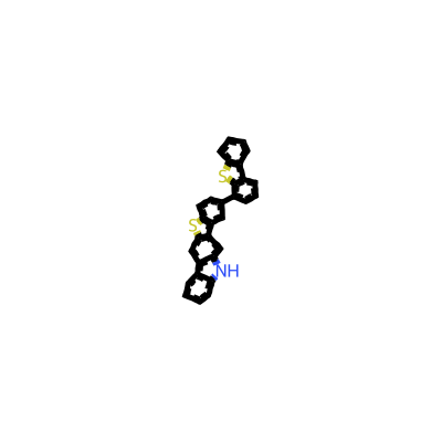 c1ccc2c(c1)[nH]c1cc3c(cc12)sc1ccc(-c2cccc4c2sc2ccccc24)cc13